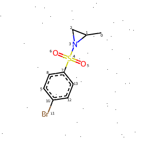 CC1CN1S(=O)(=O)c1ccc(Br)cc1